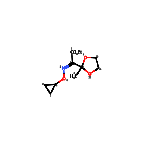 CCOC(=O)/C(=N/OC1CC1)C1(C)OCCO1